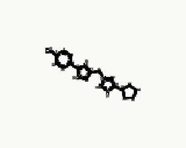 Clc1ccc(-c2nc(Cn3cc(C4CCCC4)nn3)cs2)cc1